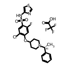 C[C@H](c1ccccc1)N1CCC(Oc2cc(F)c(S(=O)(=O)Nc3cscn3)cc2Cl)CC1.O=C(O)C(F)(F)F